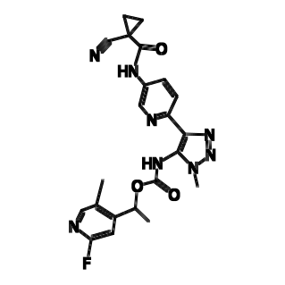 Cc1cnc(F)cc1C(C)OC(=O)Nc1c(-c2ccc(NC(=O)C3(C#N)CC3)cn2)nnn1C